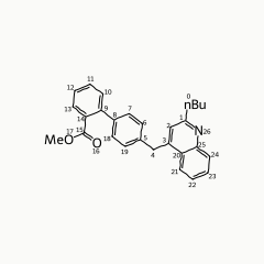 CCCCc1cc(Cc2ccc(-c3ccccc3C(=O)OC)cc2)c2ccccc2n1